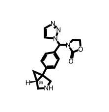 O=C1OCCN1C(c1ccc(C23CNC[C@@H]2C3)cc1)n1ccnn1